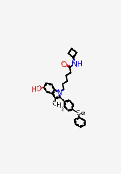 Cc1c(-c2ccc([Se]c3ccccc3)cc2)n(CCCCCC(=O)NC2CCC2)c2ccc(O)cc12